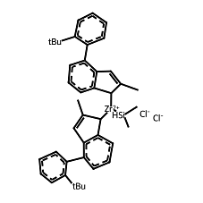 CC1=Cc2c(-c3ccccc3C(C)(C)C)cccc2[CH]1[Zr+2]([CH]1C(C)=Cc2c(-c3ccccc3C(C)(C)C)cccc21)[SiH](C)C.[Cl-].[Cl-]